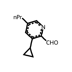 CCCc1cnc(C=O)c(C2CC2)c1